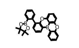 CC1(C)OB(c2ccccc2-c2cccc3c2Oc2cccc4c2B3c2ccccc2O4)OC1(C)C